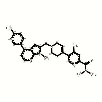 Cc1cc(C(=O)N(C)C)nnc1C1=CCN(Cc2cc3c(-c4ccc(N)nc4)ccnc3n2C)CC1